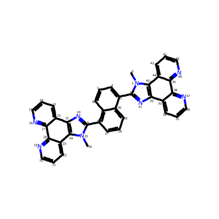 Cn1c(-c2cccc3c(-c4nc5c6cccnc6c6ncccc6c5n4C)cccc23)nc2c3cccnc3c3ncccc3c21